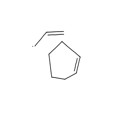 C1=CCCCC1.[CH2]C=C